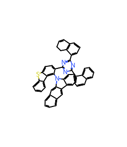 C1=Cc2cccc(-c3nc(-c4ccc5sc6ccccc6c5c4-n4c5ccccc5c5cc6ccccc6cc54)nc(-c4cccc5ccccc45)n3)c2CC1